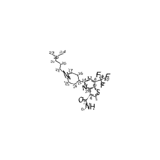 CNC(=O)c1csc2c(C(F)(F)F)cc(C3CCN(CCCC(C)C)CC3)nc12